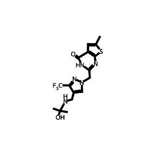 Cc1cc2c(=O)[nH]c(Cn3cc(CNC(C)(C)O)c(C(F)(F)F)n3)nc2s1